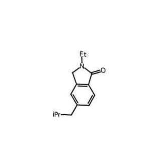 CCN1Cc2cc(CC(C)C)ccc2C1=O